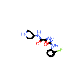 O=C(NC1CCNCC1)c1nnc(Nc2ccccc2F)o1